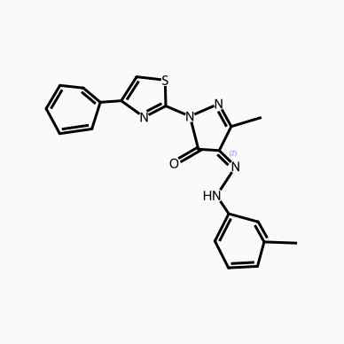 CC1=NN(c2nc(-c3ccccc3)cs2)C(=O)/C1=N\Nc1cccc(C)c1